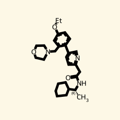 CCOc1ccc(-c2ccc(CC(=O)N[C@H](C)C3CCCCC3)nc2)c(CN2CCOCC2)c1